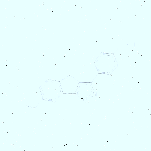 O=C(O)c1ccc(-c2n[nH]c3c2Cc2ccc(CO)cc2-3)cc1